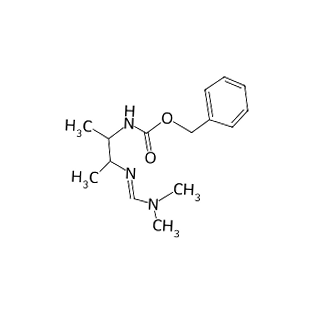 CC(/N=C/N(C)C)C(C)NC(=O)OCc1ccccc1